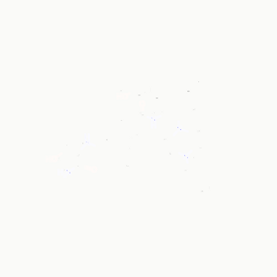 NC(=O)[C@H](CO)NCc1ccc(C(=O)Nc2ccc(Cl)cc2N2CCN(CCC(F)(F)F)CC2)c(F)c1F.O=S(=O)(O)O